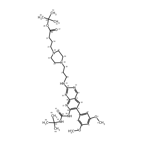 COc1cc(OC)cc(-c2cc3cnc(NCCCN4CCN(CCCC(=O)OC(C)(C)C)CC4)nc3nc2NC(=O)NC(C)(C)C)c1